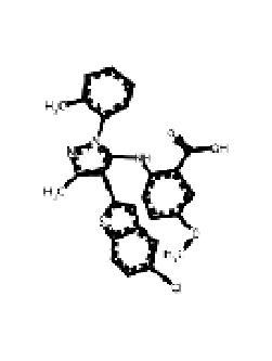 COc1ccc(Nc2c(-c3cc4cc(Cl)ccc4s3)c(C)nn2-c2ccccc2C)c(C(=O)O)c1